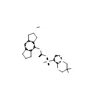 CO[C@H]1Cc2cc3c(c(NC(=O)N=S(N)(=O)c4cnn5c4OCC(C)(C)C5)c2C1)CCC3